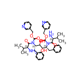 CC(C)[C@H](N)C(=O)N(C(=O)OCc1cccnc1)[C@@H](Cc1ccccc1)C(O)C(O)[C@H](Cc1ccccc1)N(C(=O)OCc1cccnc1)C(=O)[C@@H](N)C(C)C